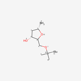 B[C@H]1C[C@@H](O)C(CO[Si](C)(C)C(C)(C)C)O1